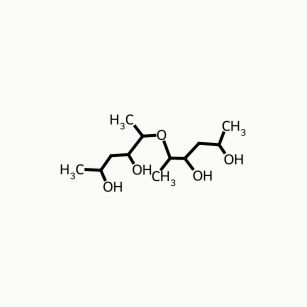 CC(O)CC(O)C(C)OC(C)C(O)CC(C)O